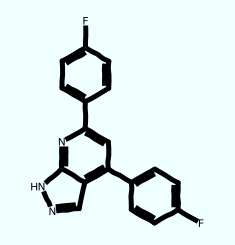 Fc1ccc(-c2cc(-c3ccc(F)cc3)c3cn[nH]c3n2)cc1